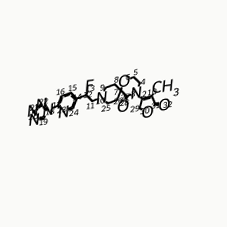 CC1=C(N2CCOC3(CCN(CC(F)c4ccc(-n5cnnn5)nc4)CC3)C2=O)COC1=O